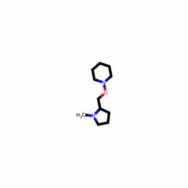 CN1CCCC1CON1CCCCC1